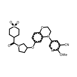 COc1ncc(N2CCOc3ccc(OC4CCN(C(=O)C5CCS(=O)(=O)CC5)C4)cc32)cc1C#N